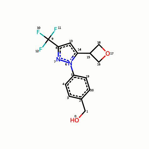 OCc1ccc(-n2nc(C(F)(F)F)cc2C2COC2)cc1